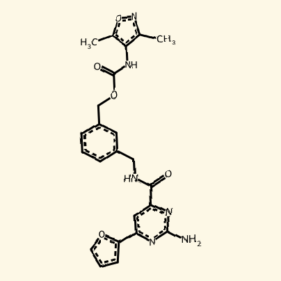 Cc1noc(C)c1NC(=O)OCc1cccc(CNC(=O)c2cc(-c3ccco3)nc(N)n2)c1